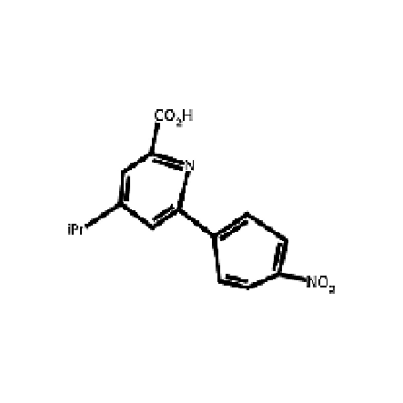 CC(C)c1cc(C(=O)O)nc(-c2ccc([N+](=O)[O-])cc2)c1